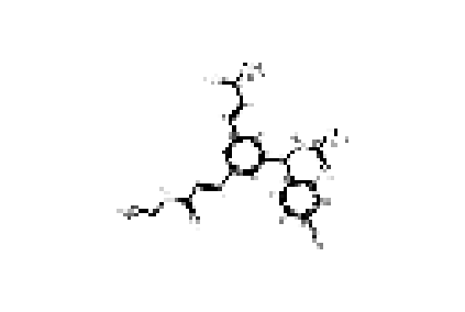 CCOC(=O)C=Cc1cc(C=CC(N)=O)cc(C(OC(C)=O)c2ccc(F)cc2)c1